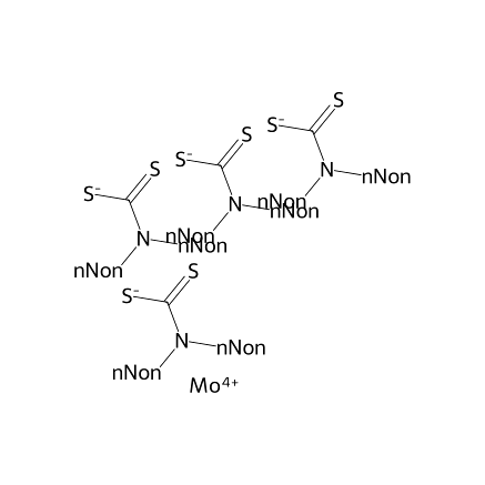 CCCCCCCCCN(CCCCCCCCC)C(=S)[S-].CCCCCCCCCN(CCCCCCCCC)C(=S)[S-].CCCCCCCCCN(CCCCCCCCC)C(=S)[S-].CCCCCCCCCN(CCCCCCCCC)C(=S)[S-].[Mo+4]